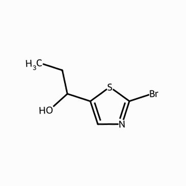 CCC(O)c1cnc(Br)s1